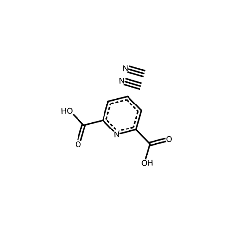 C#N.C#N.O=C(O)c1cccc(C(=O)O)n1